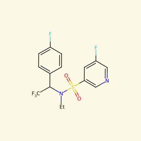 CCN(C(c1ccc(F)cc1)C(F)(F)F)S(=O)(=O)c1cncc(F)c1